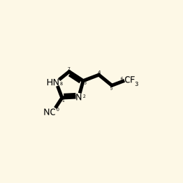 N#Cc1nc(CCC(F)(F)F)c[nH]1